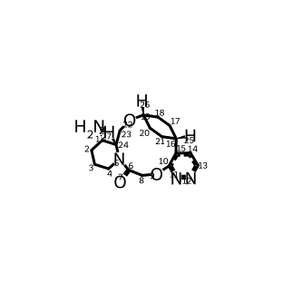 N[C@H]1CCCN2C(=O)COc3nnccc3[C@H]3CC[C@H](CC3)OC[C@@H]12